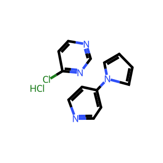 Cl.Clc1ccncn1.c1ccn(-c2ccncc2)c1